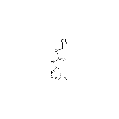 CCOC(=O)Nc1cc(Cl)ccn1